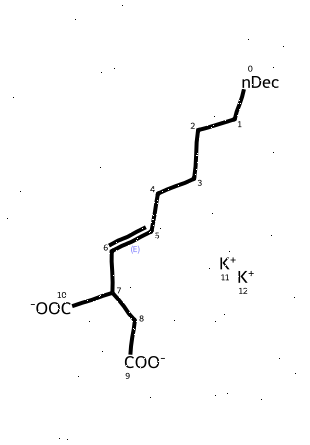 CCCCCCCCCCCCCC/C=C/C(CC(=O)[O-])C(=O)[O-].[K+].[K+]